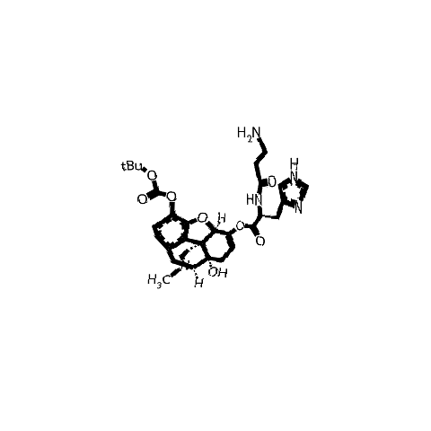 CN1CC[C@]23c4c5ccc(OC(=O)OC(C)(C)C)c4O[C@H]2C(OC(=O)[C@H](Cc2c[nH]cn2)NC(=O)CCN)=CC[C@@]3(O)[C@H]1C5